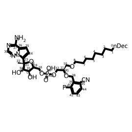 CCCCCCCCCCCCCCCCCCOC[C@H](COP(=O)(O)OCC1O[C@@](C)(c2ccc3c(N)ncnn23)[C@H](O)[C@@H]1O)OCc1c(F)cccc1C#N